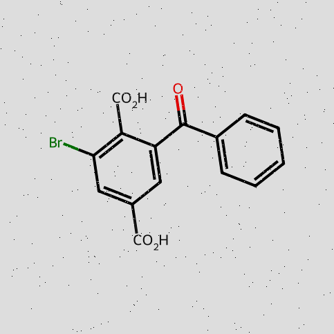 O=C(O)c1cc(Br)c(C(=O)O)c(C(=O)c2ccccc2)c1